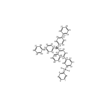 CC(C)(c1ccccc1)c1cccc(-c2ccc(N(c3ccc(-c4ccccc4)cc3)c3ccc(-c4ccccc4)cc3)c3ccccc23)c1